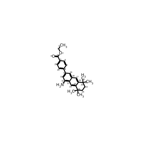 CCOC(=O)c1ccc(-c2cc(N)c3cc4c(cc3c2)C(C)(C)CCC4(C)C)cc1